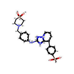 CS(=O)(=O)c1ccc(-c2cccn3nc(Nc4ccc(CN5CCS(=O)(=O)CC5)cc4)nc23)cc1